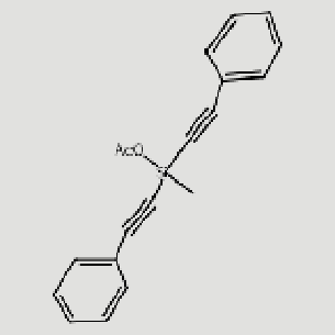 CC(=O)O[Si](C)(C#Cc1ccccc1)C#Cc1ccccc1